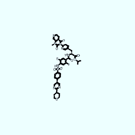 CC(C)OC(=O)[C@H](Cc1ccc(-n2c(=O)c3ccncc3n(C)c2=O)nc1)NC(=O)c1cc(F)c(NS(=O)(=O)c2ccc(-c3cnc(C4CCOCC4)nc3)cc2)cc1F